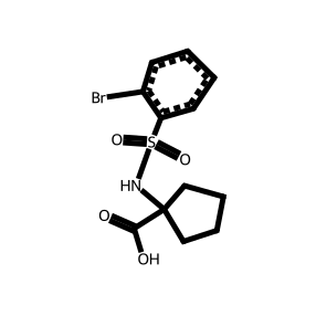 O=C(O)C1(NS(=O)(=O)c2ccccc2Br)CCCC1